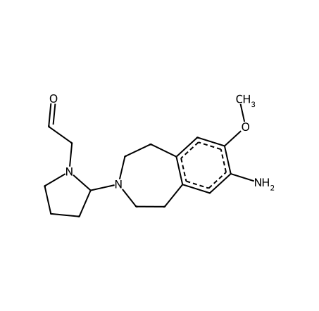 COc1cc2c(cc1N)CCN(C1CCCN1CC=O)CC2